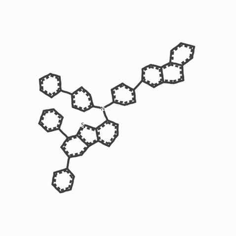 c1ccc(-c2ccc(N(c3ccc(-c4ccc5c(ccc6ccccc65)c4)cc3)c3cccc4c3sc3c(-c5ccccc5)cc(-c5ccccc5)cc34)cc2)cc1